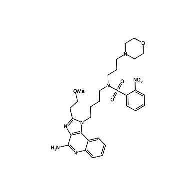 COCCc1nc2c(N)nc3ccccc3c2n1CCCCN(CCCN1CCOCC1)S(=O)(=O)c1ccccc1[N+](=O)[O-]